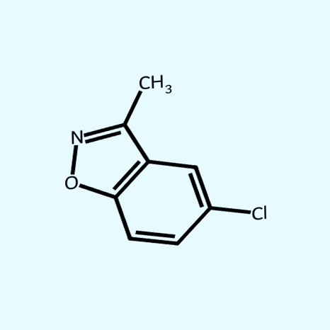 Cc1noc2ccc(Cl)cc12